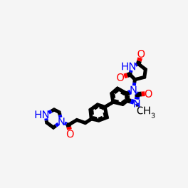 Cn1c(=O)n(C2CCC(=O)NC2=O)c2ccc(-c3ccc(CCC(=O)N4CCNCC4)cc3)cc21